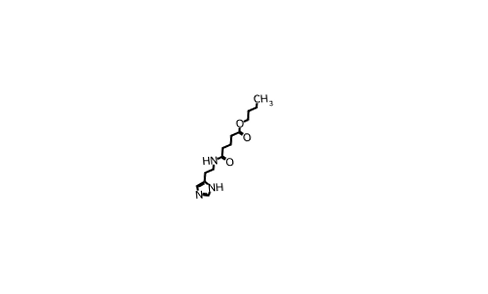 CCCCOC(=O)CCCC(=O)NCCc1cnc[nH]1